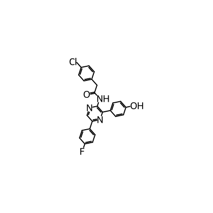 O=C(Cc1ccc(Cl)cc1)Nc1ncc(-c2ccc(F)cc2)nc1-c1ccc(O)cc1